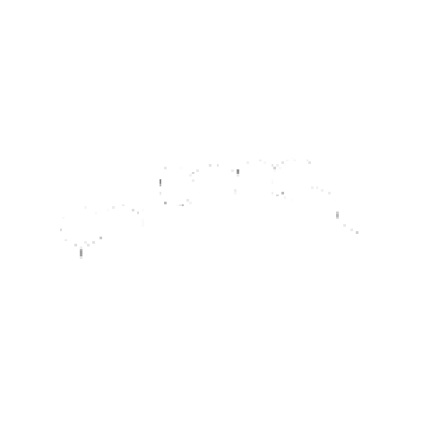 COc1cccc(CNc2ccc(CC(=O)Nc3ccc(SC(F)F)cc3)cc2)c1